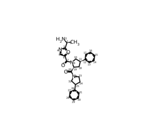 C[C@H](N)c1ncc(C(=O)N2C[C@@H](c3ccccc3)C[C@H]2C(=O)N2CCC(c3ccccc3)C2)o1